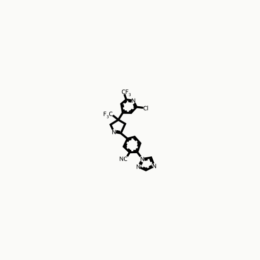 N#Cc1cc(C2=NCC(c3cc(Cl)nc(C(F)(F)F)c3)(C(F)(F)F)C2)ccc1-n1cncn1